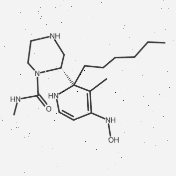 CCCCCCC1([C@H]2CNCCN2C(=O)NC)NC=CC(NO)=C1C